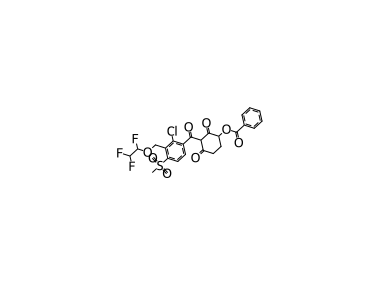 CS(=O)(=O)c1ccc(C(=O)C2C(=O)CCC(OC(=O)c3ccccc3)C2=O)c(Cl)c1COC(F)C(F)F